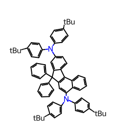 CC(C)(C)c1ccc(N(c2ccc(C(C)(C)C)cc2)c2ccc3c(c2)C(c2ccccc2)(c2ccccc2)c2cc(N(c4ccc(C(C)(C)C)cc4)c4ccc(C(C)(C)C)cc4)c4ccccc4c2-3)cc1